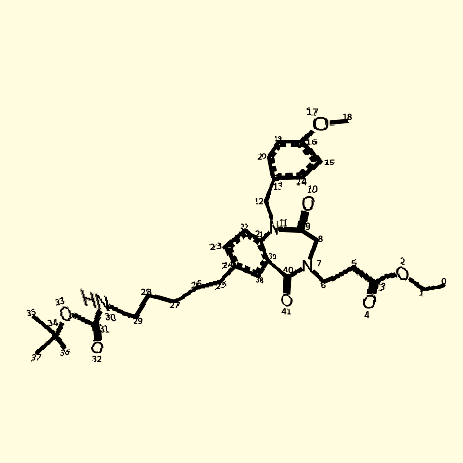 CCOC(=O)CCN1CC(=O)N(Cc2ccc(OC)cc2)c2ccc(CCCCCNC(=O)OC(C)(C)C)cc2C1=O